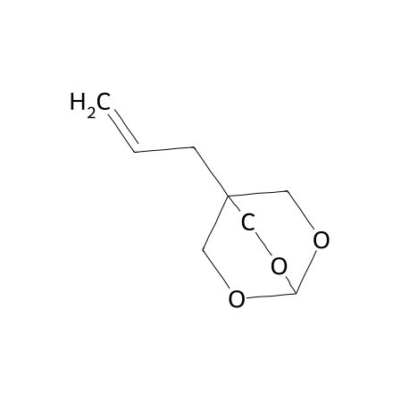 C=CCC12COC(OC1)OC2